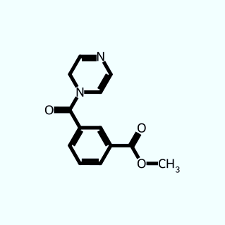 COC(=O)c1cccc(C(=O)N2C=CN=CC2)c1